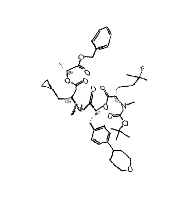 C[C@@H](OC(=O)[C@H](CC1CC1)N(C)C(=O)[C@@H](Cc1ccc(C2CCOCC2)cc1)OC(=O)[C@H](CCC(C)(C)F)N(C)C(=O)OC(C)(C)C)C(=O)OCc1ccccc1